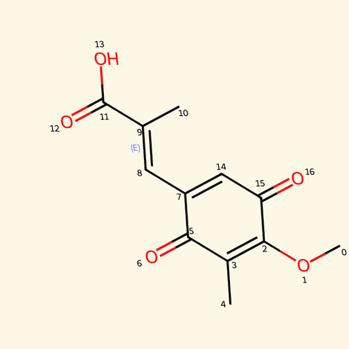 COC1=C(C)C(=O)C(/C=C(\C)C(=O)O)=CC1=O